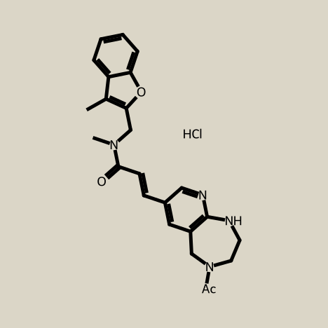 CC(=O)N1CCNc2ncc(/C=C/C(=O)N(C)Cc3oc4ccccc4c3C)cc2C1.Cl